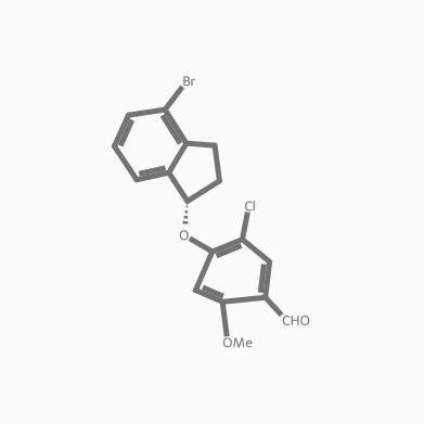 COc1cc(O[C@H]2CCc3c(Br)cccc32)c(Cl)cc1C=O